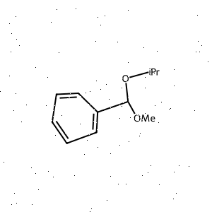 COC(OC(C)C)c1ccccc1